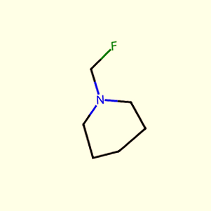 FCN1CCCCC1